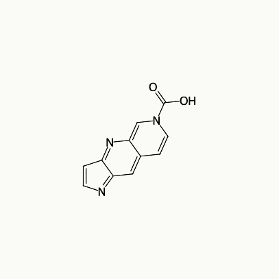 O=C(O)n1ccc2cc3nccc3nc2c1